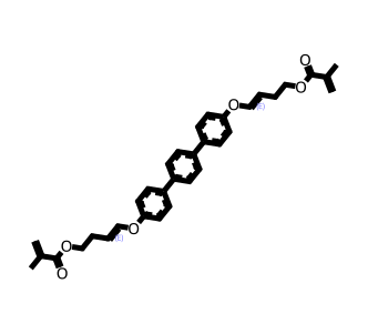 C=C(C)C(=O)OCC/C=C/Oc1ccc(-c2ccc(-c3ccc(O/C=C/CCOC(=O)C(=C)C)cc3)cc2)cc1